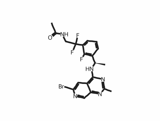 CC(=O)NCC(F)(F)c1cccc([C@@H](C)Nc2nc(C)nc3cnc(Br)cc23)c1F